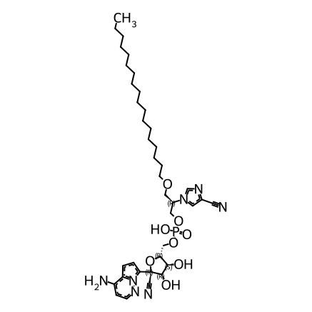 CCCCCCCCCCCCCCCCCCOC[C@H](COP(=O)(O)OC[C@H]1O[C@@](C#N)(c2ccc3c(N)ccnn23)[C@H](O)[C@@H]1O)n1cnc(C#N)c1